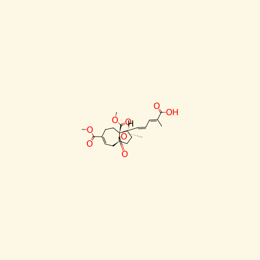 COC(=O)C1=CC[C@@]23CC[C@@H]([C@@](C)(/C=C/C=C(\C)C(=O)O)OC2=O)[C@@]3(C(=O)OC)CC1